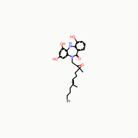 C/C(=C\CCC1(C)OC1CN1C(=O)c2cccc(O)c2Nc2c(O)cc(O)cc21)CCCC(C)C